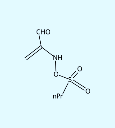 C=C(C=O)NOS(=O)(=O)CCC